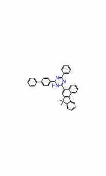 CC1(C)c2ccccc2-c2c1cc(C1=NC(c3ccccc3)=NC(c3ccc(-c4ccccc4)cc3)N1)c1ccccc21